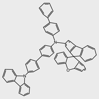 C1=CC2=C(C=CC1)C1(c3ccccc3Oc3ccccc31)c1cc(N(c3ccc(-c4ccccc4)cc3)c3ccc(-c4ccc(-n5c6ccccc6c6ccccc65)cc4)cc3)ccc12